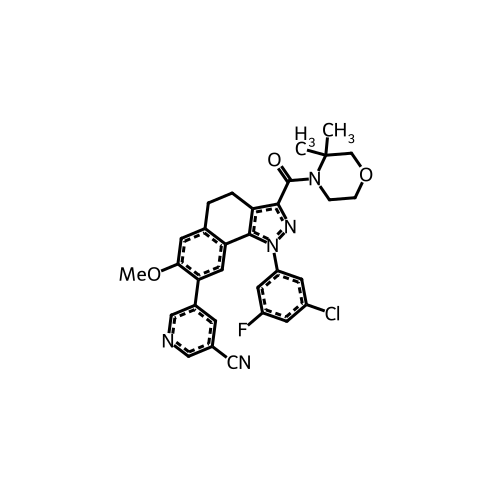 COc1cc2c(cc1-c1cncc(C#N)c1)-c1c(c(C(=O)N3CCOCC3(C)C)nn1-c1cc(F)cc(Cl)c1)CC2